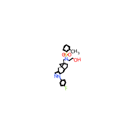 Cc1ccccc1S(=O)(=O)N(CCO)C[C@@]12CCC3=Cc4c(cnn4-c4ccc(F)cc4)C[C@@]31C2